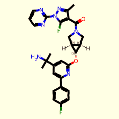 Cc1nn(-c2ncccn2)c(F)c1C(=O)N1C[C@@H]2[C@H](C1)[C@H]2Oc1cc(C(C)(C)N)cc(-c2ccc(F)cc2)n1